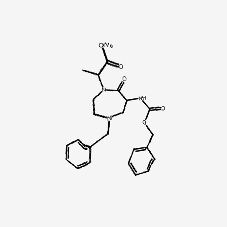 COC(=O)C(C)N1CCN(Cc2ccccc2)CC(NC(=O)OCc2ccccc2)C1=O